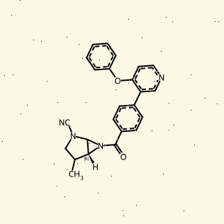 CC1CN(C#N)C2[C@@H]1N2C(=O)c1ccc(-c2cnccc2Oc2ccccc2)cc1